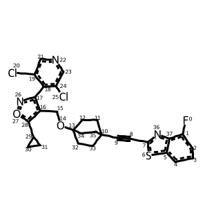 Fc1cccc2sc(C#CC34CCC(OCc5c(-c6c(Cl)cncc6Cl)noc5C5CC5)(CC3)CC4)nc12